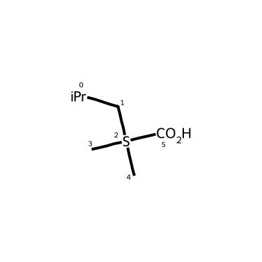 CC(C)CS(C)(C)C(=O)O